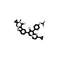 CN1C(=O)c2c3cc(-c4cn5ccc(C6CC6)nc5c(-c5ccc(OC(F)F)cc5)c4=O)ccc3nn2CC12CC2